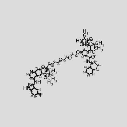 CNC(C)C(=O)NC(C(=O)N1C[C@@H](OCCOCCOCCOCCOc2cc3nccc(Nc4n[nH]c5ccc(F)cc45)c3cc2S(=O)(=O)C(C)(C)C)C[C@H]1C(=O)N[C@@H]1CCCc2ccccc21)C(C)(C)C